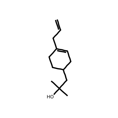 C=CCC1=CCC(CC(C)(C)O)CC1